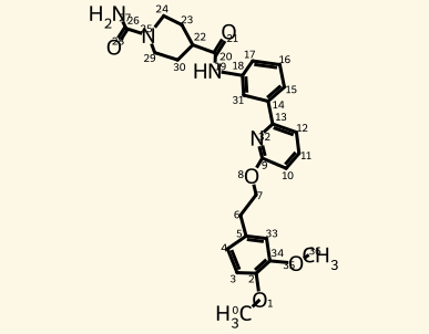 COc1ccc(CCOc2cccc(-c3cccc(NC(=O)C4CCN(C(N)=O)CC4)c3)n2)cc1OC